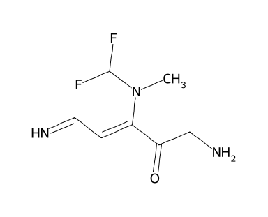 CN(/C(=C\C=N)C(=O)CN)C(F)F